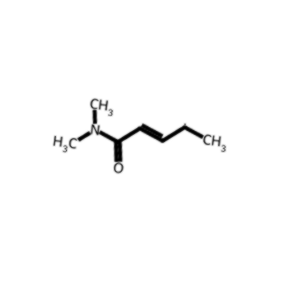 C[CH]/C=C/C(=O)N(C)C